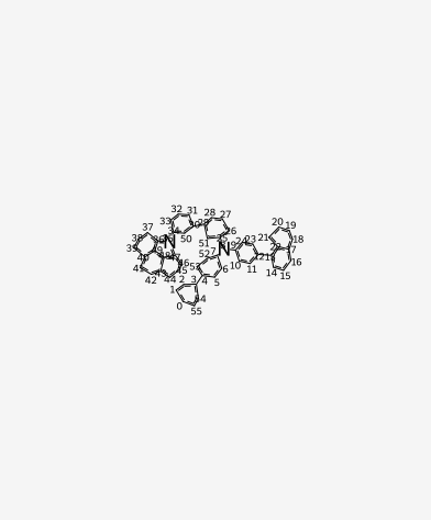 c1ccc(-c2ccc(N(c3ccc(-c4cccc5ccccc45)cc3)c3cccc(-c4cccc(-n5c6cccc7ccc8cccc5c8c76)c4)c3)cc2)cc1